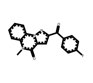 Cn1c(=O)c2cc(C(=O)c3ccc(F)cc3)nn2c2ccccc21